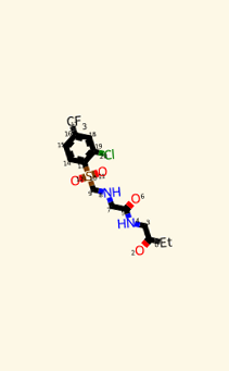 CCC(=O)CNC(=O)CNCS(=O)(=O)c1ccc(C(F)(F)F)cc1Cl